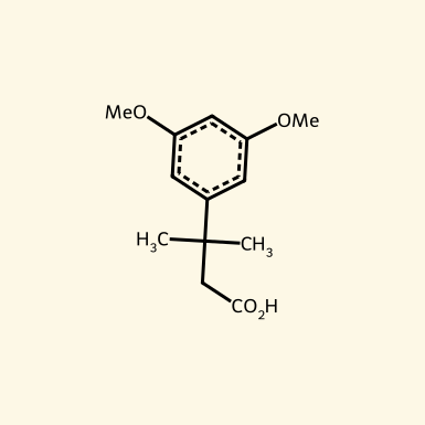 COc1cc(OC)cc(C(C)(C)CC(=O)O)c1